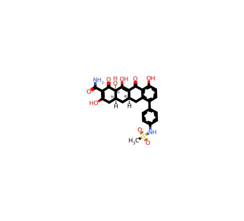 CS(=O)(=O)Nc1ccc(-c2ccc(O)c3c2C[C@H]2C[C@H]4CC(O)=C(C(N)=O)C(=O)[C@@]4(O)C(O)=C2C3=O)cc1